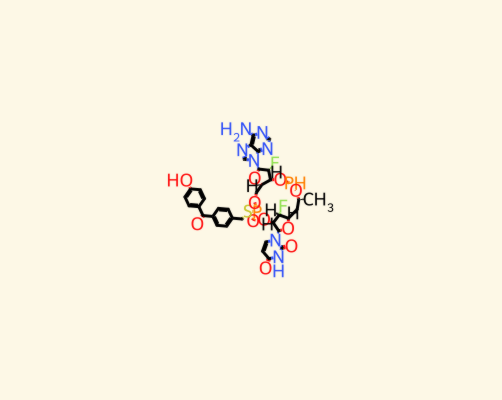 C[C@@H]1C[C@H]2O[C@@H](n3ccc(=O)[nH]c3=O)[C@H](OP(=O)(SCc3ccc(C(=O)c4ccc(O)cc4)cc3)OC[C@H]3O[C@@H](n4cnc5c(N)ncnc54)[C@H](F)[C@@H]3OPO1)[C@@H]2F